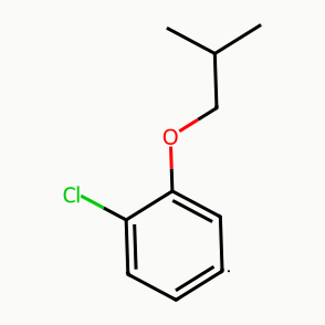 CC(C)COc1c[c]ccc1Cl